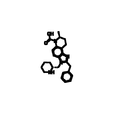 C[C@H]1CCc2c(ccc3c2nc(Cc2ccccc2)n3C[C@H]2CCCCN2)N1C(=O)O